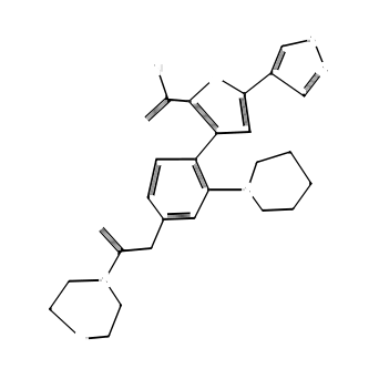 NC(=O)c1oc(-c2cn[nH]c2)cc1-c1ccc(CC(=O)N2CCOCC2)cc1N1CCCCC1